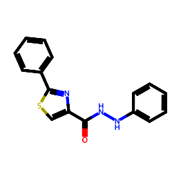 O=C(NNc1ccccc1)c1csc(-c2ccccc2)n1